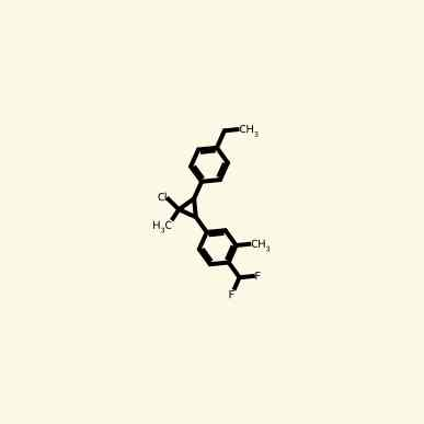 CCc1ccc(C2C(c3ccc(C(F)F)c(C)c3)C2(C)Cl)cc1